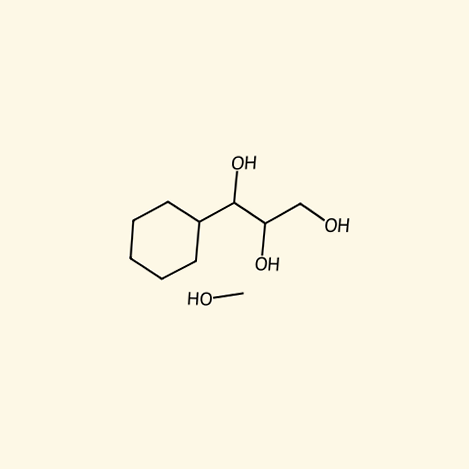 CO.OCC(O)C(O)C1CCCCC1